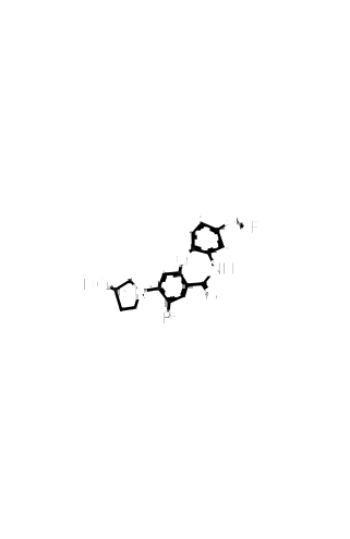 O=C1Nc2cc(OC(F)(F)F)ccc2Oc2cc(N3CCC(O)C3)c(Br)cc21